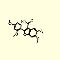 COc1ccc(-c2oc3cc(OC)c(OC)cc3c2C(=O)O)c(OC)c1